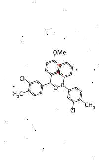 COc1ccc(C(OB(c2ccc(C)c(Cl)c2)c2ccccn2)c2ccc(C)c(Cl)c2)cc1